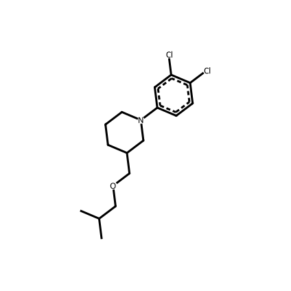 CC(C)COCC1CCCN(c2ccc(Cl)c(Cl)c2)C1